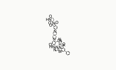 COc1cc(N2CCC3(CCN(c4ccc5c(c4)C(=O)N(C4CCC(=O)NC4=O)C5=O)CC3)CC2)c(-c2cnn(C)c2)cc1Nc1ncc(Br)c(Nc2ccc(-c3ccccc3)cc2P(C)(C)=O)n1